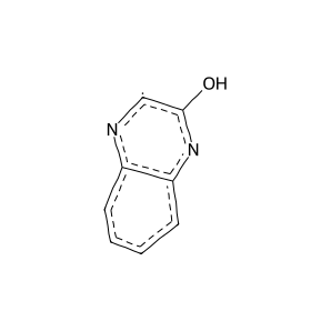 Oc1[c]nc2ccccc2n1